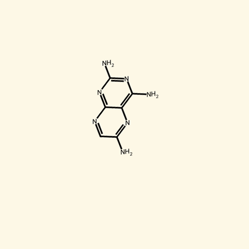 Nc1cnc2nc(N)nc(N)c2n1